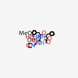 COc1ccc(CC(NCC(C)(C=O)NC(=O)CN2CCOCC2)C(=O)NC(Cc2ccccc2)C(=O)C2(C)CO2)cc1O